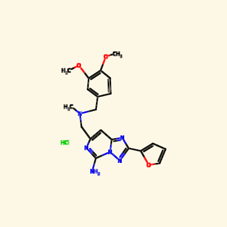 COc1ccc(CN(C)Cc2cc3nc(-c4ccco4)nn3c(N)n2)cc1OC.Cl